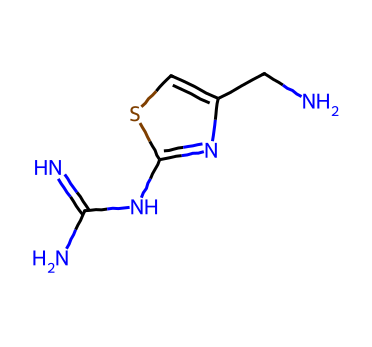 N=C(N)Nc1nc(CN)cs1